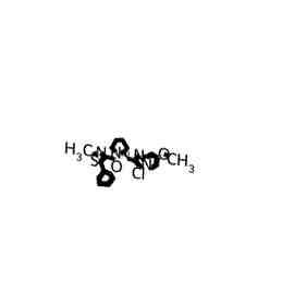 COc1ccn2c(Cl)c(C[C@@H]3CCCCN3C(=O)c3nc(C)sc3-c3ccccc3)nc2c1